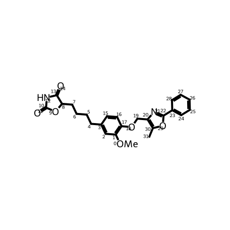 COc1cc(CCCCC2OC(=O)NC2=O)ccc1OCc1nc(-c2ccccc2)oc1C